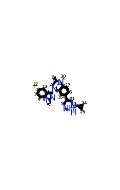 CC1CN(c2nn(C)c3ccc(F)cc23)c2cc(/C(C=N)=C/NC3CC3)ccc2N1C